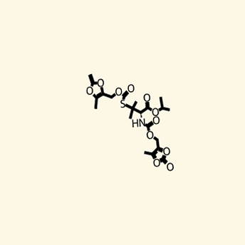 C=C1OC(C)=C(COC(=O)SC(C)(C)[C@@H](NC(=O)OCc2oc(=O)oc2C)C(=O)OC(C)C)O1